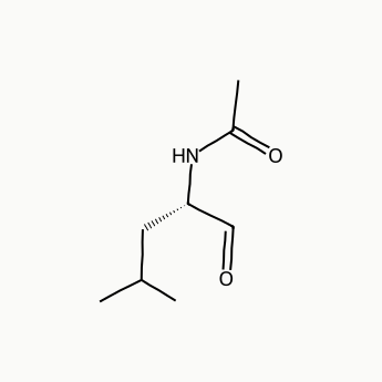 CC(=O)N[C@H](C=O)CC(C)C